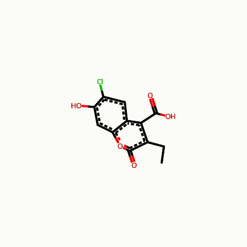 CCc1c(C(=O)O)c2cc(Cl)c(O)cc2oc1=O